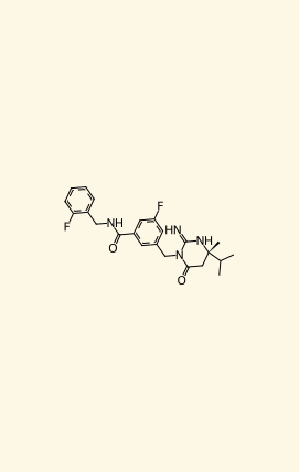 CC(C)[C@]1(C)CC(=O)N(Cc2cc(F)cc(C(=O)NCc3ccccc3F)c2)C(=N)N1